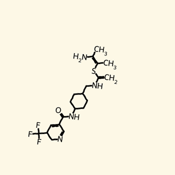 C=C(NCC1CCC(NC(=O)C2=CC(C(F)(F)F)CN=C2)CC1)S/C(C)=C(/C)N